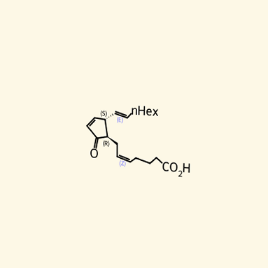 CCCCCC/C=C/[C@H]1C=CC(=O)[C@@H]1C/C=C\CCCC(=O)O